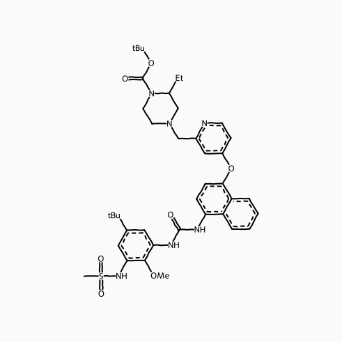 CCC1CN(Cc2cc(Oc3ccc(NC(=O)Nc4cc(C(C)(C)C)cc(NS(C)(=O)=O)c4OC)c4ccccc34)ccn2)CCN1C(=O)OC(C)(C)C